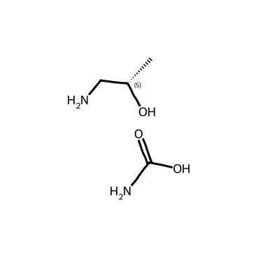 C[C@H](O)CN.NC(=O)O